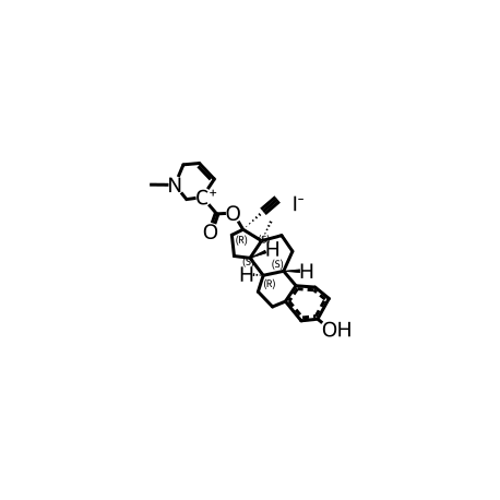 C#C[C@@]1(OC(=O)[C+]2C=CCN(C)C2)CC[C@H]2[C@@H]3CCc4cc(O)ccc4[C@H]3CC[C@@]21C.[I-]